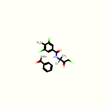 CC[C@](C)(NC(=O)c1cc(Cl)c(C)c(Cl)c1)C(=O)CCl.CNC(=O)c1ccccc1